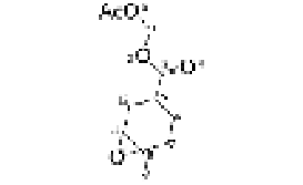 CC(=O)OCOC(=O)C1CCC2(C)OC2C1